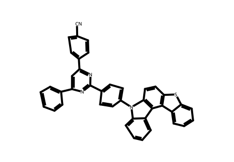 N#Cc1ccc(-c2cc(-c3ccccc3)nc(-c3ccc(-n4c5ccccc5c5c6c(ccc54)sc4ccccc46)cc3)n2)cc1